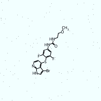 COCCNC(=O)Nc1cc(F)c(Sc2ccnc3[nH]cc(Br)c23)c(F)c1